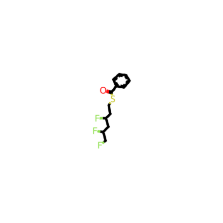 O=C(SCCC(F)CC(F)CF)c1ccccc1